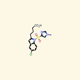 Cn1cnc(S(=O)(=O)n2c(CCCC(=O)O)cc3cc(Cl)ccc32)c1